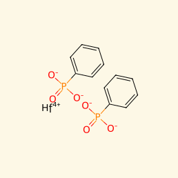 O=P([O-])([O-])c1ccccc1.O=P([O-])([O-])c1ccccc1.[Hf+4]